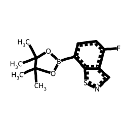 CC1(C)OB(c2ccc(F)c3cnsc23)OC1(C)C